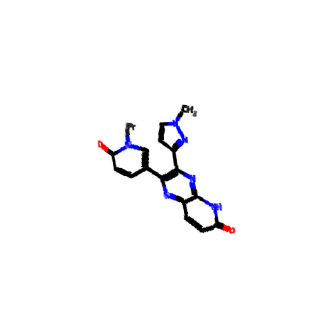 CC(C)n1cc(-c2nc3ccc(=O)[nH]c3nc2-c2ccn(C)n2)ccc1=O